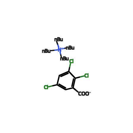 CCCC[N+](CCCC)(CCCC)CCCC.O=C([O-])c1cc(Cl)cc(Cl)c1Cl